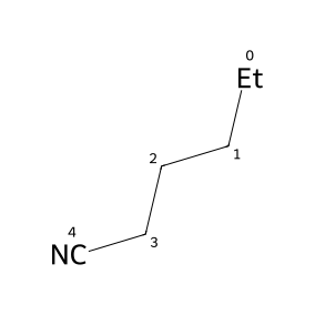 [CH2]CCCCC#N